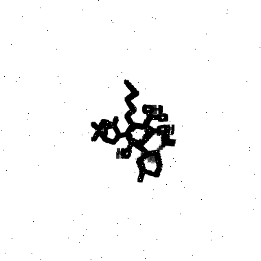 C=C(C)[C@@H]1CCC(C)=C[C@H]1c1c(O)c(C(=O)O)c(CCCCC)c(C2CC3CC2(C)CC3(C)C)c1O